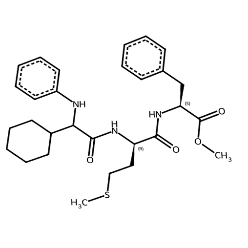 COC(=O)[C@H](Cc1ccccc1)NC(=O)[C@@H](CCSC)NC(=O)C(Nc1ccccc1)C1CCCCC1